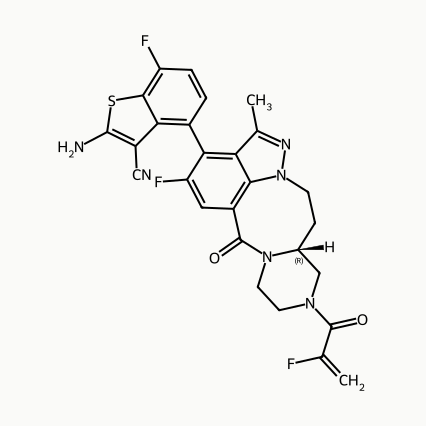 C=C(F)C(=O)N1CCN2C(=O)c3cc(F)c(-c4ccc(F)c5sc(N)c(C#N)c45)c4c(C)nn(c34)CC[C@@H]2C1